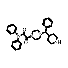 O=C(C(=O)N(c1ccccc1)c1ccccc1)N1CCN(C(c2ccccc2)C2CCNCC2)CC1